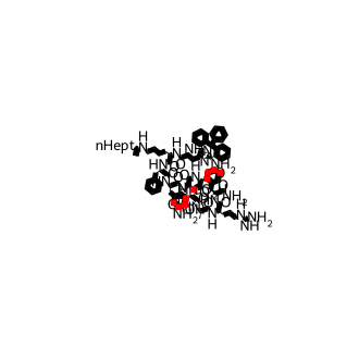 C=C(CCCCCCC)NCCCC[C@H](NC(=O)[C@@H](N)Cc1cn(C(c2ccccc2)(c2ccccc2)c2ccccc2)cn1)C(=O)N[C@@H](Cc1ccccc1)C(=O)N[C@@H](Cc1ccc(O)cc1)C(=O)N[C@@H](CC(=O)O)C(=O)N[C@@H](CCC(N)=O)C(=O)N[C@@H](CCC(N)=O)C(=O)N[C@@H](C)C(=O)N[C@@H](CCCNC(=N)N)C(=O)N[C@@H](Cc1ccccc1)C(N)=O